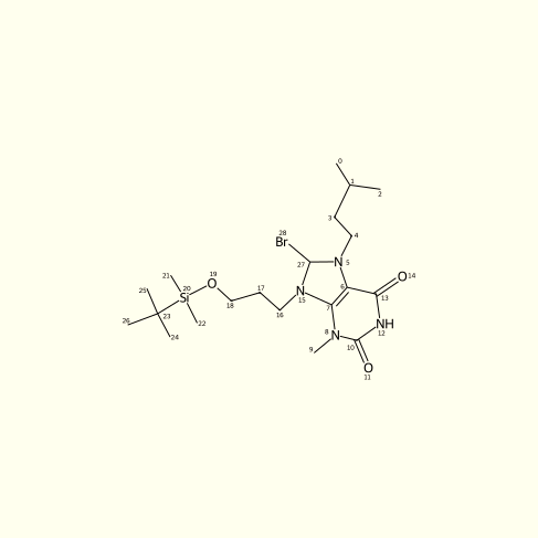 CC(C)CCN1c2c(n(C)c(=O)[nH]c2=O)N(CCCO[Si](C)(C)C(C)(C)C)C1Br